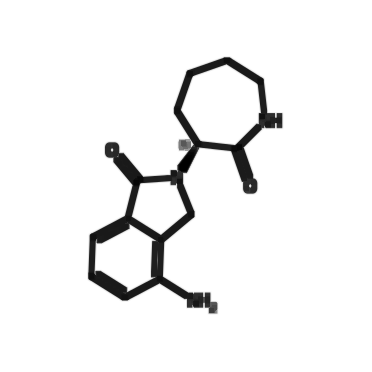 Nc1cccc2c1CN([C@H]1CCCCNC1=O)C2=O